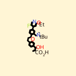 CCOc1cc(-c2ccc(C3CCc4ccc([C@H](O)[C@H](C)C(=O)O)cc4O3)c(CN(C)C(C)(C)C)c2)c(F)cn1